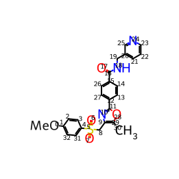 COc1ccc(S(=O)(=O)Cc2nc(-c3ccc(C(=O)NCc4cccnc4)cc3)oc2C)cc1